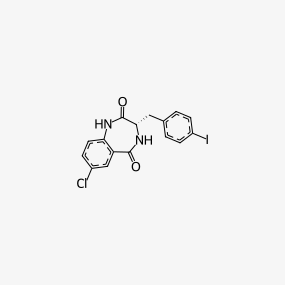 O=C1N[C@@H](Cc2ccc(I)cc2)C(=O)Nc2ccc(Cl)cc21